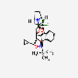 C[Si](C)(C)C#Cc1ccc(N2[C@@H]3CC[C@H]2CC(OCc2c(-c4ccccc4OC(F)(F)F)noc2C2CC2)C3)cc1